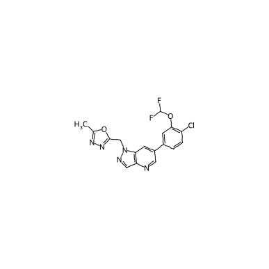 Cc1nnc(Cn2ncc3ncc(-c4ccc(Cl)c(OC(F)F)c4)cc32)o1